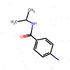 CC(C)NC(=O)c1ccc(I)cc1